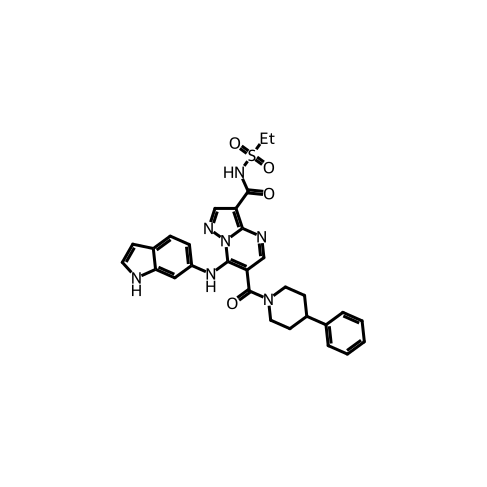 CCS(=O)(=O)NC(=O)c1cnn2c(Nc3ccc4cc[nH]c4c3)c(C(=O)N3CCC(c4ccccc4)CC3)cnc12